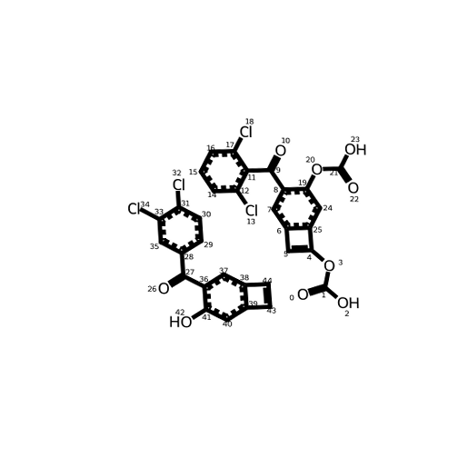 O=C(O)OC1=Cc2cc(C(=O)c3c(Cl)cccc3Cl)c(OC(=O)O)cc21.O=C(c1ccc(Cl)c(Cl)c1)c1cc2c(cc1O)C=C2